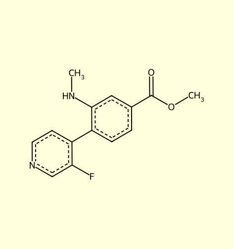 CNc1cc(C(=O)OC)ccc1-c1ccncc1F